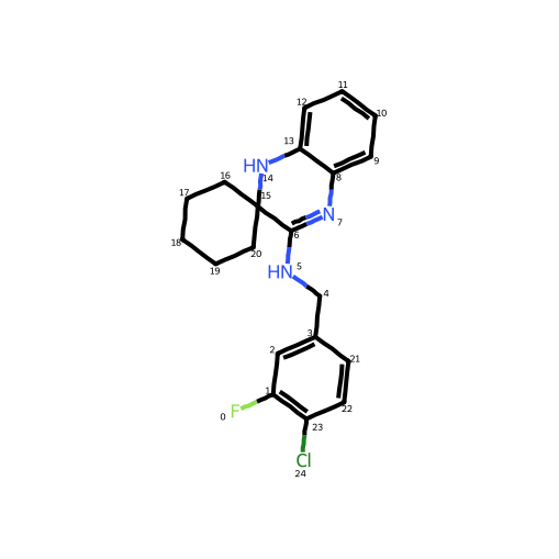 Fc1cc(CNC2=Nc3ccccc3NC23CCCCC3)ccc1Cl